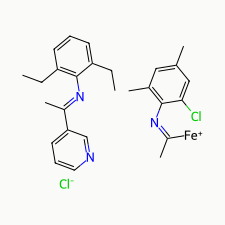 CCc1cccc(CC)c1N=C(C)c1cccnc1.C[C]([Fe+])=Nc1c(C)cc(C)cc1Cl.[Cl-]